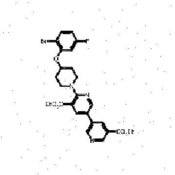 CCOC(=O)c1cncc(-c2cnc(N3CCC(Oc4cc(F)ccc4Br)CC3)c(C(=O)OCC)c2)c1